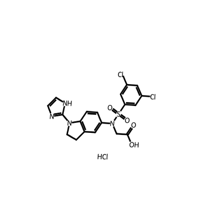 Cl.O=C(O)CN(c1ccc2c(c1)CCN2c1ncc[nH]1)S(=O)(=O)c1cc(Cl)cc(Cl)c1